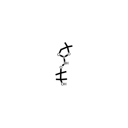 CC1(C)COB(BOC(C)(C)C(C)(C)O)O1